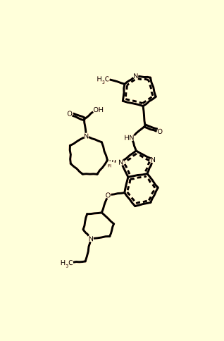 CCN1CCC(Oc2cccc3nc(NC(=O)c4ccnc(C)c4)n([C@@H]4CCCCN(C(=O)O)C4)c23)CC1